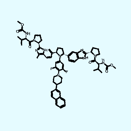 C=C(/C=C\c1[nH]c([C@@H]2CCCN2C(=O)[C@@H](NC(=O)OC)C(C)C)nc1C)[C@H]1CC[C@H](c2ccc3[nH]c([C@@H]4CCCN4C(=O)[C@@H](NC(=O)OC)C(C)C)nc3c2)N1c1cc(F)c(N2CCC(c3ccc4ccccc4c3)CC2)c(F)c1